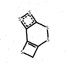 C1SC2=C1SSc1ssc12